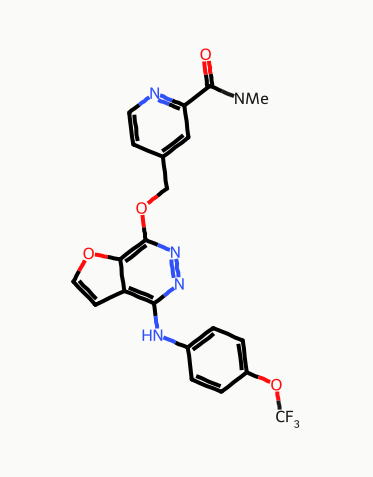 CNC(=O)c1cc(COc2nnc(Nc3ccc(OC(F)(F)F)cc3)c3ccoc23)ccn1